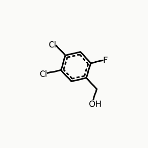 OCc1cc(Cl)c(Cl)cc1F